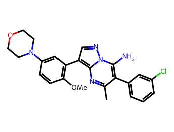 COc1ccc(N2CCOCC2)cc1-c1cnn2c(N)c(-c3cccc(Cl)c3)c(C)nc12